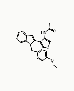 CCOc1ccc(CC2C(c3conc3NC(C)=O)=Cc3ccccc32)cc1